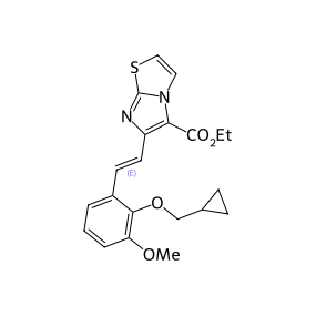 CCOC(=O)c1c(/C=C/c2cccc(OC)c2OCC2CC2)nc2sccn12